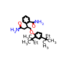 CCC(C)(C)c1ccc(OCC(CC(N)=O)c2ccccc2C(N)=O)c(C(C)(C)CC)c1